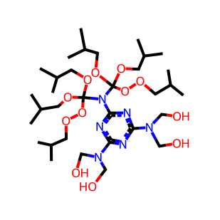 CC(C)COOC(OCC(C)C)(OCC(C)C)N(c1nc(N(CO)CO)nc(N(CO)CO)n1)C(OCC(C)C)(OCC(C)C)OOCC(C)C